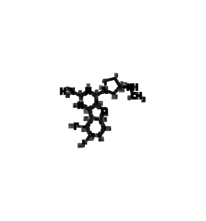 CN[C@@H]1CCN(c2nc(N)nc3c2oc2ccc(F)c(F)c23)C1